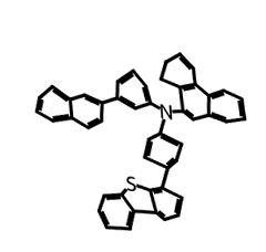 C1=Cc2c(c(N(c3ccc(-c4cccc5c4sc4ccccc45)cc3)c3cccc(-c4ccc5ccccc5c4)c3)cc3ccccc23)CC1